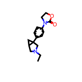 CCN1CC2CC2(c2ccc(N3CCOC3=O)cc2)C1